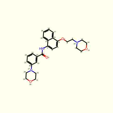 O=C(Nc1ccc(OCCN2CCOCC2)c2ccccc12)c1cccc(N2CCOCC2)c1